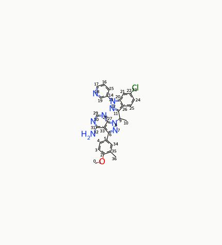 COc1ccc(-c2nn(C(C)c3nn(-c4cccnc4)c4cc(Cl)ccc34)c3ncnc(N)c23)cc1C